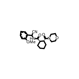 COc1ccccc1C(C#N)NC(=O)[C@@H]1CCCC[C@H]1C(=O)N1CCOCC1